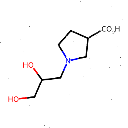 O=C(O)C1CCN(CC(O)CO)C1